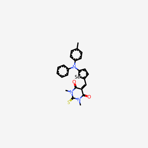 Cc1ccc(N(c2ccccc2)c2ccc(C=C3C(=O)N(C)C(=S)N(C)C3=O)[se]2)cc1